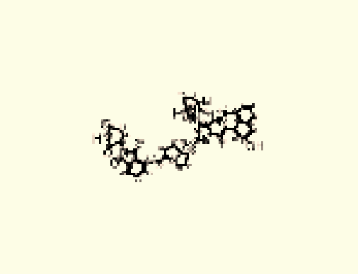 C#Cc1cccc2cc(O)cc(-c3ncc4c(N5C[C@H]6CC[C@@H](C5)N6)nc(OC[C@@]56CCCN5C(COc5cccc7c5C(=O)N(C5CCC(=O)NC5=O)C7=O)CC6)nc4c3F)c12